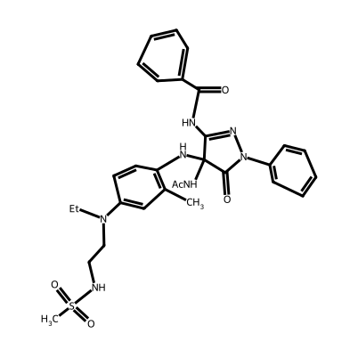 CCN(CCNS(C)(=O)=O)c1ccc(NC2(NC(C)=O)C(=O)N(c3ccccc3)N=C2NC(=O)c2ccccc2)c(C)c1